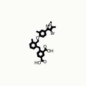 Cc1cc(-c2nn(C)c(C)c2Br)ccc1OCc1c(C)cccc1Cc1ccc(C(=O)O)cc1C(=O)O